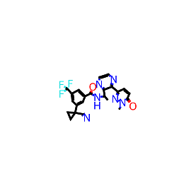 CC(NC(=O)c1cc(C(F)(F)F)cc(C2(C#N)CC2)c1)c1nccnc1-c1ccc(=O)n(C)n1